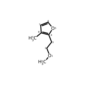 COCCc1occc1C